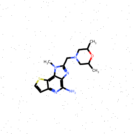 CC1CN(Cc2nc3c(N)nc4ccsc4c3n2C)CC(C)O1